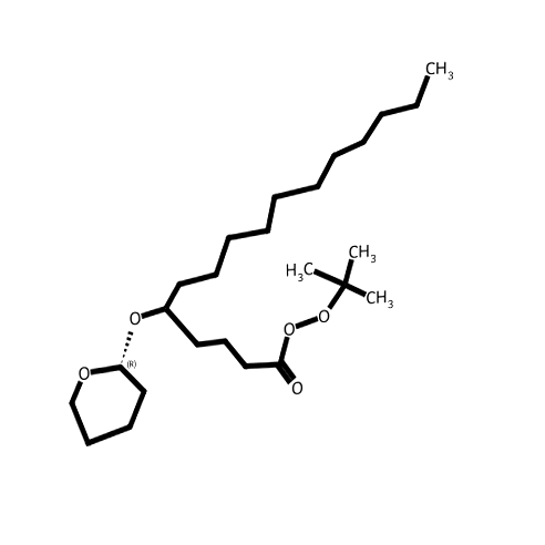 CCCCCCCCCCCC(CCCC(=O)OOC(C)(C)C)O[C@@H]1CCCCO1